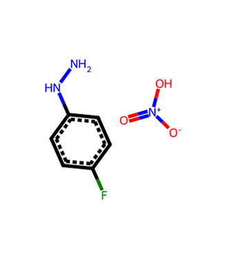 NNc1ccc(F)cc1.O=[N+]([O-])O